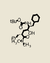 CC(C)C[C@H](C[C@H](O)[C@H](CC1CCCCC1)NC(=O)OC(C)(C)C)C(=O)N(C)C